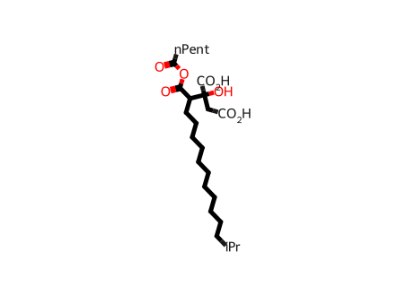 CCCCCC(=O)OC(=O)C(CCCCCCCCCCCC(C)C)C(O)(CC(=O)O)C(=O)O